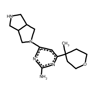 CC1(c2cc(N3CC4CNCC4C3)nc(N)n2)CCOCC1